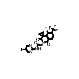 O=C(CN1C(=O)c2ccc(C(F)(F)F)c(F)c2C2(CC2)C1=O)Nc1ncc(F)cn1